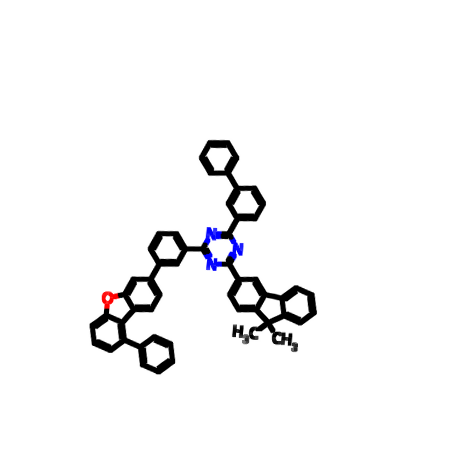 CC1(C)c2ccccc2-c2cc(-c3nc(-c4cccc(-c5ccccc5)c4)nc(-c4cccc(-c5ccc6c(c5)oc5cccc(-c7ccccc7)c56)c4)n3)ccc21